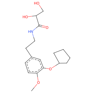 COc1ccc(CCNC(=O)C(O)CO)cc1OC1CCCC1